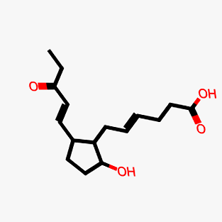 CCC(=O)C=CC1CCC(O)C1CC=CCCC(=O)O